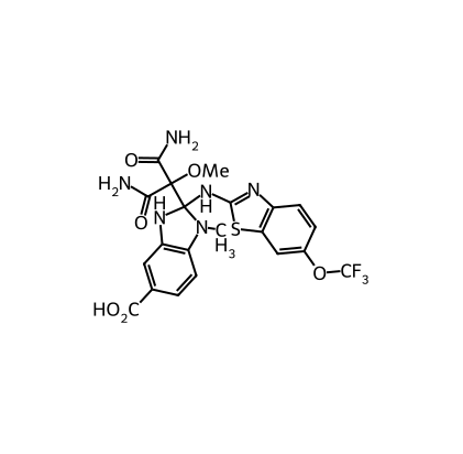 COC(C(N)=O)(C(N)=O)C1(Nc2nc3ccc(OC(F)(F)F)cc3s2)Nc2cc(C(=O)O)ccc2N1C